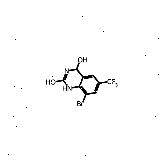 OC1=NC(O)c2cc(C(F)(F)F)cc(Br)c2N1